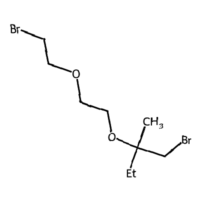 CCC(C)(CBr)OCCOCCBr